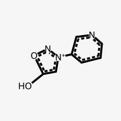 Oc1c[n+](-c2cccnc2)no1